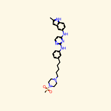 Cc1cc2cc(Nc3ccnc(Nc4cccc(CCCCCN5CCN(S(C)(=O)=O)CC5)c4)n3)ccc2[nH]1